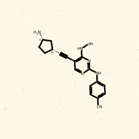 CCCNc1nc(Nc2ccc(C#N)cc2)ncc1C#C[C@@H]1CC[C@H](N)C1